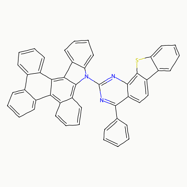 c1ccc(-c2nc(-n3c4ccccc4c4c5c6ccccc6c6ccccc6c5c5ccccc5c43)nc3c2ccc2c4ccccc4sc23)cc1